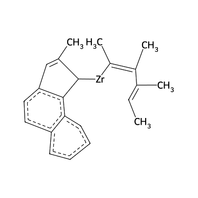 CC=C(C)C(C)=[C](C)[Zr][CH]1C(C)=Cc2ccc3ccccc3c21